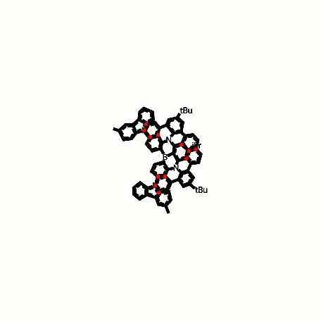 Cc1ccc2c(c1)c1ccccc1n2-c1ccc2c(c1)N(c1c(-c3ccccc3)cc(C(C)(C)C)cc1-c1ccccc1)c1cc(C(C)C)cc3c1B2c1ccc(-n2c4ccccc4c4cc(C)ccc42)cc1N3c1c(-c2ccccc2)cc(C(C)(C)C)cc1-c1ccccc1